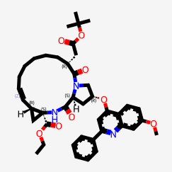 CCOC(=O)[C@]12C[C@@H]1/C=C\CCCCC[C@H](CC(=O)OC(C)(C)C)C(=O)N1C[C@H](Oc3cc(-c4ccccc4)nc4cc(OC)ccc34)C[C@H]1C(=O)N2